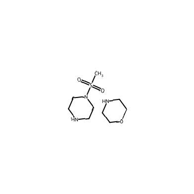 C1COCCN1.CS(=O)(=O)N1CCNCC1